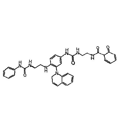 O=C(NCCNC(=O)C1C=CC=CC1=O)Nc1ccc(NCCNC(=O)Nc2ccccc2)c(N2CC=Cc3ccccc32)c1